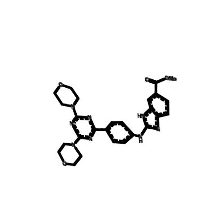 COC(=O)c1ccc2nc(Nc3ccc(-c4nc(N5CCOCC5)nc(N5CCOCC5)n4)cc3)[nH]c2c1